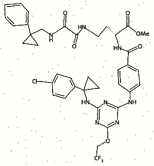 COC(=O)[C@@H](CCNC(=O)C(=O)NCC1(c2ccccc2)CC1)NC(=O)c1ccc(Nc2nc(NC3(c4ccc(Cl)cc4)CC3)nc(OCC(F)(F)F)n2)cc1